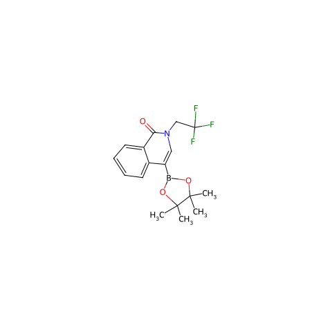 CC1(C)OB(c2cn(CC(F)(F)F)c(=O)c3ccccc23)OC1(C)C